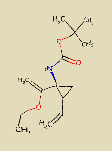 C=CC1C[C@@]1(NC(=O)OC(C)(C)C)C(=C)OCC